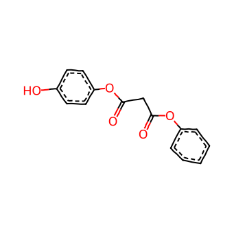 O=C(CC(=O)Oc1ccc(O)cc1)Oc1ccccc1